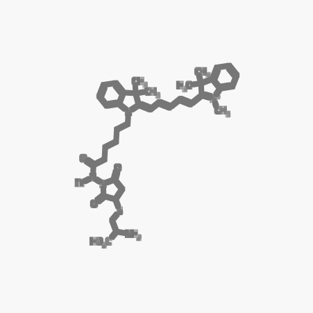 CCN(C(=O)CCCCCN1C(=CC=CC=CC2=[N+](C)c3ccccc3C2(C)C)C(C)(C)c2ccccc21)N1C(=O)CC(SCC(N)C(=O)O)C1=O